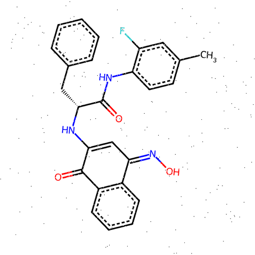 Cc1ccc(NC(=O)[C@@H](Cc2ccccc2)NC2=C/C(=N/O)c3ccccc3C2=O)c(F)c1